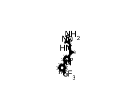 Nc1ncc(CNC2CC2c2ccc(-c3cccc(C(F)(F)F)c3)nc2)s1